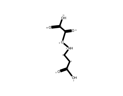 O=C(O)CCNOC(=O)C(=O)O